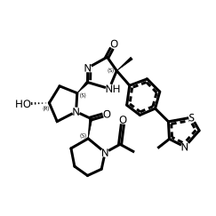 CC(=O)N1CCCC[C@H]1C(=O)N1C[C@H](O)C[C@H]1C1=NC(=O)[C@](C)(c2ccc(-c3scnc3C)cc2)N1